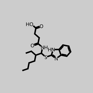 CCCCC(CC)C(NC(=O)CCC(=O)O)Sc1nc2ccccc2[nH]1